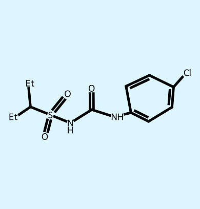 CCC(CC)S(=O)(=O)NC(=O)Nc1ccc(Cl)cc1